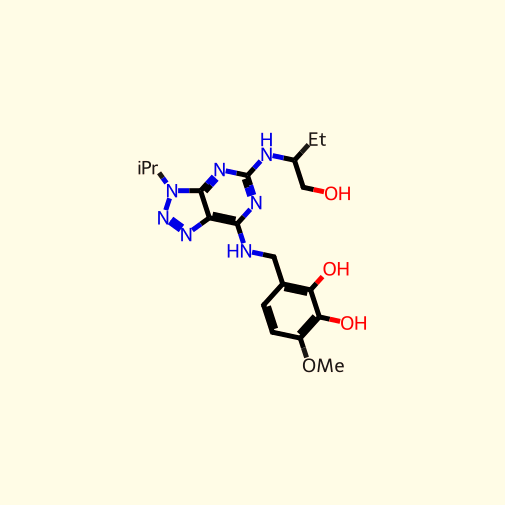 CCC(CO)Nc1nc(NCc2ccc(OC)c(O)c2O)c2nnn(C(C)C)c2n1